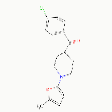 O=C(c1ccc(Cl)cc1)C1CCN(c2ccc(C(F)(F)F)o2)CC1